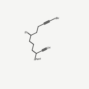 C#CC(CCCCC)CCCC(CC)CCC#CCCCC